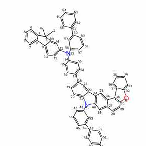 CC1(C)c2ccccc2-c2ccc(N(c3ccc(-c4ccc5c(c4)c4cc6c(ccc7oc8ccccc8c76)cc4n5-c4cccc(-c5ccccc5)c4)cc3)c3cccc(-c4ccccc4)c3)cc21